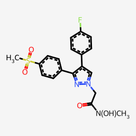 CN(O)C(=O)Cn1cc(-c2ccc(F)cc2)c(-c2ccc(S(C)(=O)=O)cc2)n1